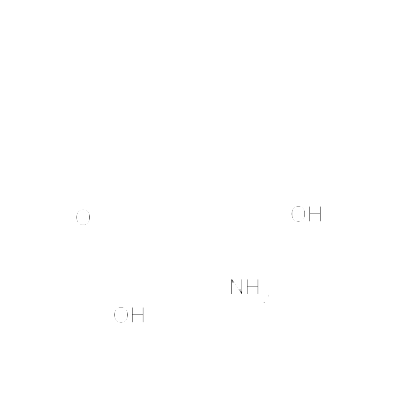 N[C@H](C(=O)O)[C@@H]1CCCC[C@@H]1O